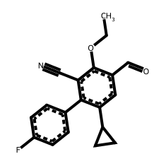 CCOc1c(C=O)cc(C2CC2)c(-c2ccc(F)cc2)c1C#N